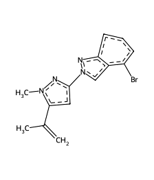 C=C(C)c1cc(-n2cc3c(Br)cccc3n2)nn1C